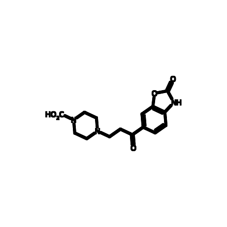 O=C(CCN1CCN(C(=O)O)CC1)c1ccc2[nH]c(=O)oc2c1